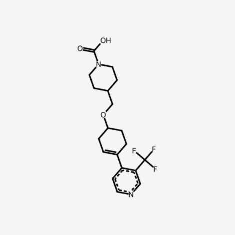 O=C(O)N1CCC(COC2CC=C(c3ccncc3C(F)(F)F)CC2)CC1